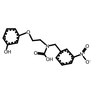 O=C(O)N(CCOc1cccc(O)c1)Cc1cccc([N+](=O)[O-])c1